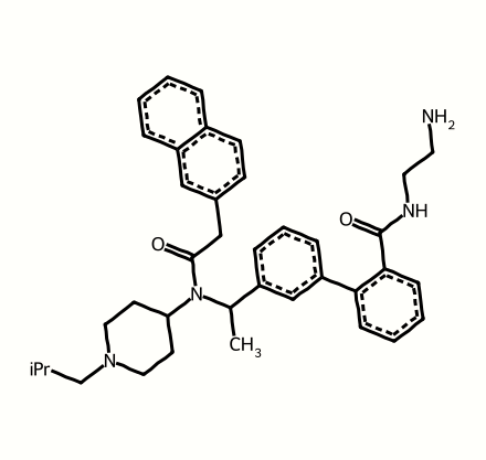 CC(C)CN1CCC(N(C(=O)Cc2ccc3ccccc3c2)C(C)c2cccc(-c3ccccc3C(=O)NCCN)c2)CC1